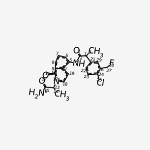 CC(C(=O)Nc1cccc2c(=O)n(C(C)C(N)=O)ccc12)c1ccc(Cl)c(CF)c1